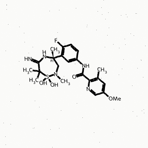 COc1cnc(C(=O)Nc2ccc(F)c([C@]3(C)CN(C)S(O)(O)C(C)(C)C(=N)N3)c2)c(C)c1